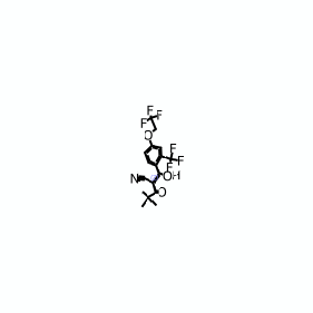 CC(C)(C)C(=O)/C(C#N)=C(\O)c1ccc(OCC(F)(F)F)cc1C(F)(F)F